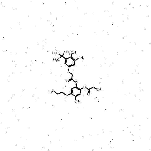 CCCCc1cc(OC(=O)CCc2cc(C)c(O)c(C(C)(C)C)c2)c(OC(=O)CC)cc1C